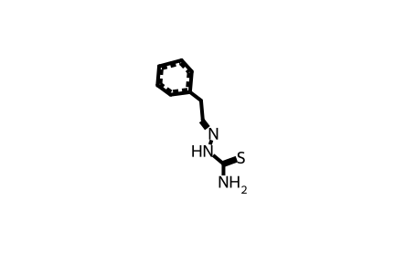 NC(=S)NN=CCc1ccccc1